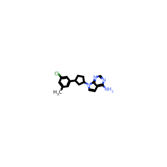 Cc1cc(Cl)cc(C2CCC(n3ccc4c(N)ncnc43)C2)c1